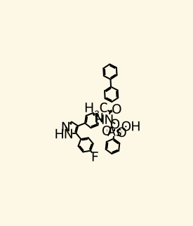 CC(=O)NO[As](=O)(OO)c1ccccc1.Fc1ccc(-c2[nH]ncc2-c2ccncc2)cc1.c1ccc(-c2ccccc2)cc1